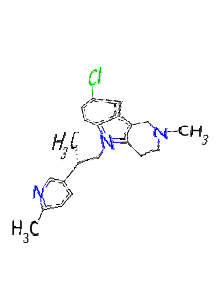 Cc1ccc([C@H](C)Cn2c3c(c4cc(Cl)ccc42)CN(C)CC3)cn1